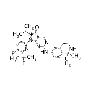 CC(C)n1c(=O)c2cnc(Nc3ccc4c(c3)CCNC4(C)C)nc2n1-c1ccc(F)c(C(C)(C)F)n1